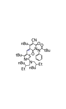 CCCCC1=C(C#N)C(=O)N(N(C(=O)C(C)(C)C)c2ccccc2)C(=O)/C1=C\c1sc(N(CC(CC)CCCC)CC(CC)CCCC)nc1C(C)(C)C